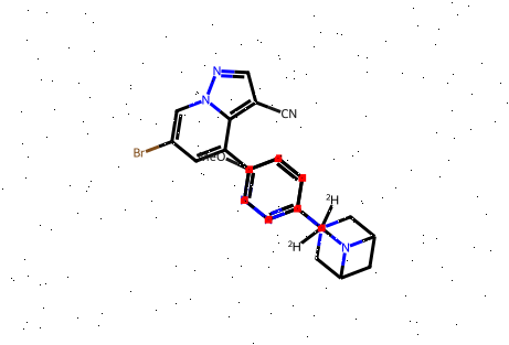 [2H]C([2H])(c1ccc(OC)nc1)N1C2CC1CN(c1ccc(-c3cc(Br)cn4ncc(C#N)c34)cn1)C2